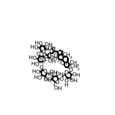 C[C@H](CC[C@@H](O[C@@H]1O[C@H](CO[C@@H]2O[C@H](CO)[C@@H](O)[C@H](O)[C@H]2O)[C@@H](O)[C@H](O)[C@H]1O[C@@H]1O[C@H](CO)[C@@H](O)[C@H](O)[C@H]1O)C(C)(C)O)[C@H]1CC[C@@]2(C)C3CC=C4C(CC[C@H](O[C@@H]5O[C@H](CO[C@@H]6O[C@H](CO)[C@@H](O)[C@H](O)[C@H]6O)[C@@H](O)[C@H](O)[C@H]5O)C4(C)C)[C@]3(C)CC[C@]12C